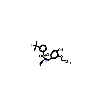 CCOc1cc(/C=C(/C#N)S(=O)(=O)c2cccc(C(F)(F)F)c2)ccc1O